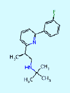 C[C@H](CNC(C)(C)C)c1cccc(-c2cccc(F)c2)n1